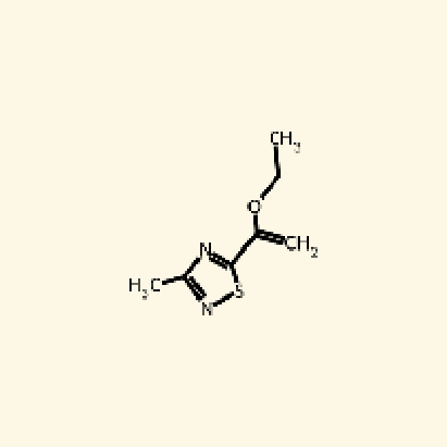 C=C(OCC)c1nc(C)ns1